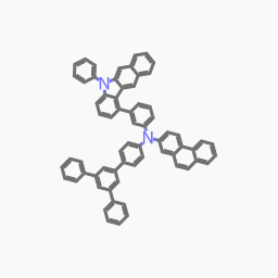 c1ccc(-c2cc(-c3ccccc3)cc(-c3ccc(N(c4cccc(-c5cccc6c5c5cc7ccccc7cc5n6-c5ccccc5)c4)c4ccc5c(ccc6ccccc65)c4)cc3)c2)cc1